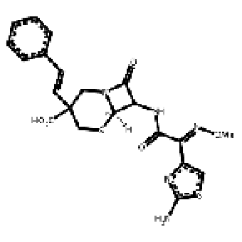 CON=C(C(=O)NC1C(=O)N2CC(C=Cc3ccccc3)(C(=O)O)CS[C@H]12)c1csc(N)n1